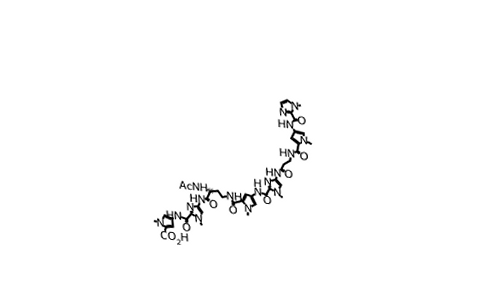 CC(=O)N[C@H](CCNC(=O)c1cc(NC(=O)c2nc(NC(=O)CCNC(=O)c3cc(NC(=O)c4nccn4C)cn3C)cn2C)cn1C)C(=O)Nc1cn(C)c(C(=O)Nc2cc(C(=O)O)n(C)c2)n1